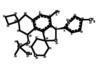 CC(C)c1nc2c(c3c1[C@@H](c1ccc(C(F)(F)F)cn1)OC31CCOCC1)C(O[Si](C)(C)C(C)(C)C)CC1(CCC1)C2